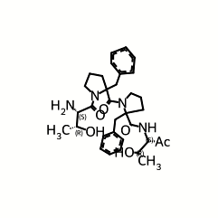 CC(=O)[C@@H](NC(=O)C1(Cc2ccccc2)CCCN1C(=O)C1(Cc2ccccc2)CCCN1C(=O)[C@@H](N)[C@@H](C)O)[C@@H](C)O